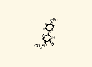 CCOC(=O)c1cnc(-c2ccc(C(C)(C)C)cc2)[nH]c1=O